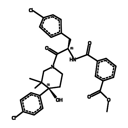 COC(=O)c1cccc(C(=O)N[C@H](Cc2ccc(Cl)cc2)C(=O)N2CC[C@](O)(c3ccc(Cl)cc3)C(C)(C)C2)c1